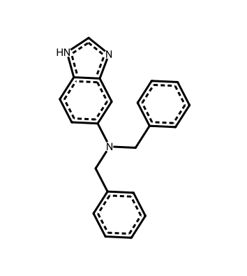 c1ccc(CN(Cc2ccccc2)c2ccc3[nH]cnc3c2)cc1